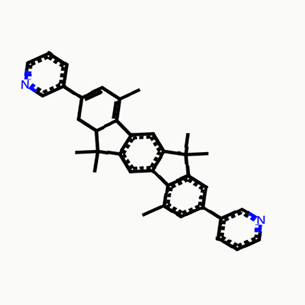 CC1=C2c3cc4c(cc3C(C)(C)C2CC(c2cccnc2)=C1)-c1c(C)cc(-c2cccnc2)cc1C4(C)C